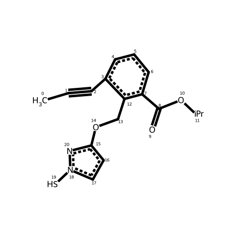 CC#Cc1cccc(C(=O)OC(C)C)c1COc1ccn(S)n1